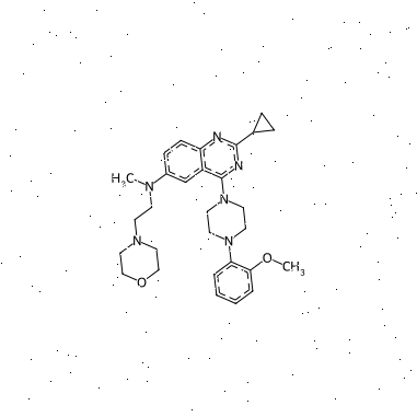 COc1ccccc1N1CCN(c2nc(C3CC3)nc3ccc(N(C)CCN4CCOCC4)cc23)CC1